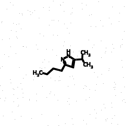 CCCCc1cc(C(C)C)[nH]n1